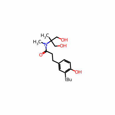 CN(C(=O)CCc1ccc(O)c(C(C)(C)C)c1)C(C)(CO)CO